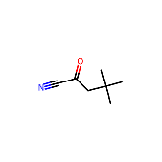 CC(C)(C)CC(=O)C#N